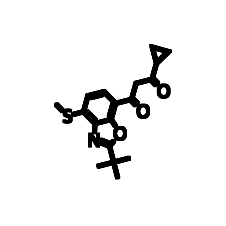 CSc1ccc(C(=O)CC(=O)C2CC2)c2oc(C(C)(C)C)nc12